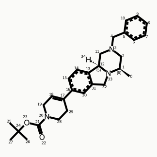 C[C@@H]1CN(Cc2ccccc2)C[C@@H]2c3ccc(C4=CCN(C(=O)OC(C)(C)C)CC4)cc3CN12